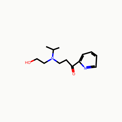 CC(C)N(CCO)CCC(=O)c1ccccn1